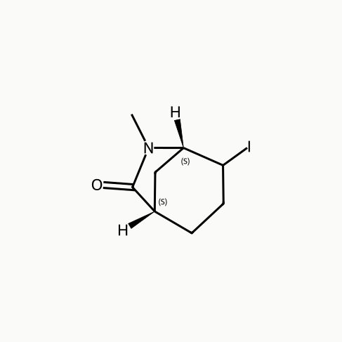 CN1C(=O)[C@H]2CCC(I)[C@@H]1C2